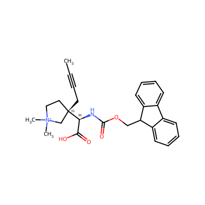 CC#CC[C@]1([C@@H](NC(=O)OCC2c3ccccc3-c3ccccc32)C(=O)O)CC[N+](C)(C)C1